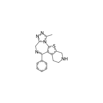 Cc1nnc2n1-c1sc3c(c1C(c1ccccc1)=NC2)CCNC3